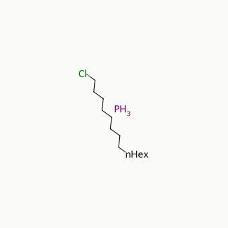 CCCCCCCCCCCCCCCl.P